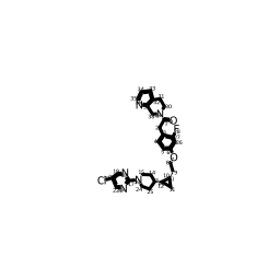 O=C(Cc1ccc(OCC[C@@H]2C[C@@H]2C2CCN(c3ncc(Cl)cn3)CC2)cc1F)N1CCc2cccnc2C1